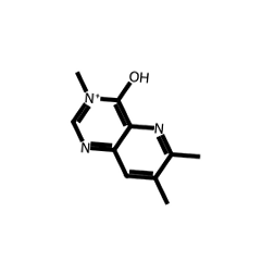 Cc1cc2nc[n+](C)c(O)c2nc1C